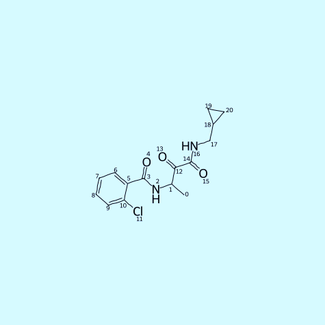 CC(NC(=O)c1ccccc1Cl)C(=O)C(=O)NCC1CC1